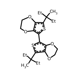 CCC(C)(CC)c1sc(-c2sc(C(C)(CC)CC)c3c2OCCO3)c2c1OCCO2